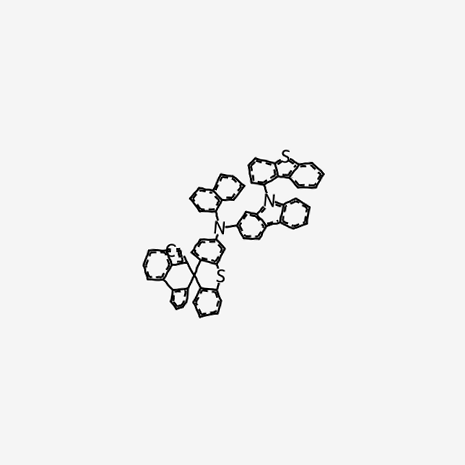 c1ccc2c(c1)Sc1cc(N(c3ccc4c5ccccc5n(-c5cccc6sc7ccccc7c56)c4c3)c3cccc4ccccc34)ccc1C21c2ccccc2-c2cccc3cccc1c23